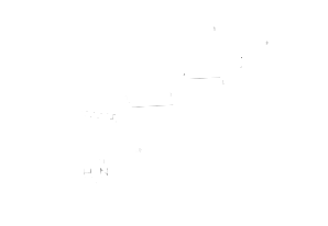 C=C(/C=C/CCC(C)(C)C)CN